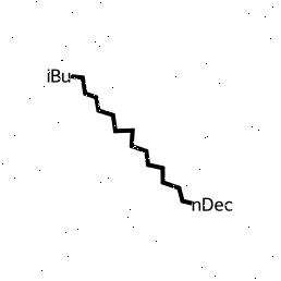 [CH2]C(CC)CCCCCCCCCCCCCCCCCCCCCCCC